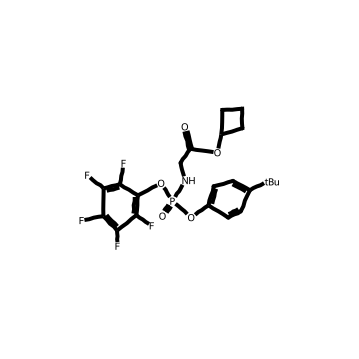 CC(C)(C)c1ccc(OP(=O)(NCC(=O)OC2CCC2)Oc2c(F)c(F)c(F)c(F)c2F)cc1